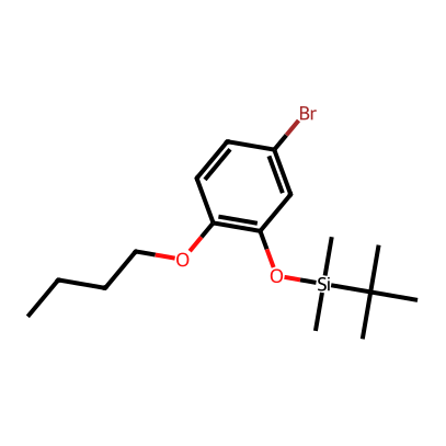 CCCCOc1ccc(Br)cc1O[Si](C)(C)C(C)(C)C